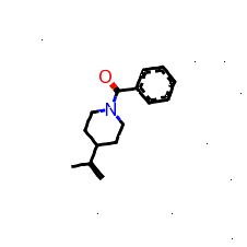 C=C(C)C1CCN(C(=O)c2ccccc2)CC1